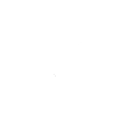 CC(C)C(C)CC1CCCCNC1